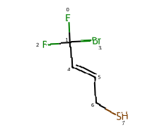 FC(F)(Br)C=CCS